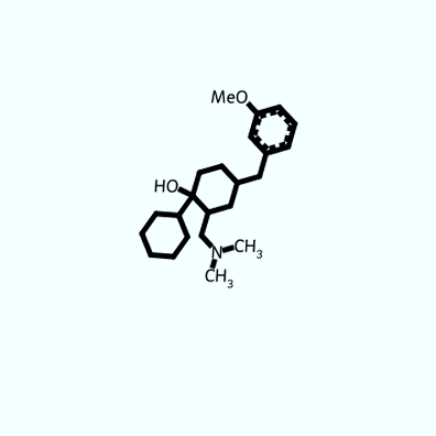 COc1cccc(CC2CCC(O)(C3CCCCC3)C(CN(C)C)C2)c1